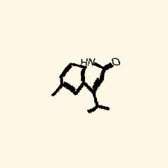 Cc1ccc2[nH]c(=O)cc(C(C)C)c2c1